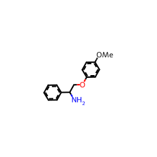 COc1ccc(OCC(N)c2ccccc2)cc1